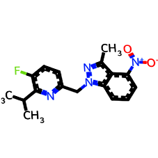 Cc1nn(Cc2ccc(F)c(C(C)C)n2)c2cccc([N+](=O)[O-])c12